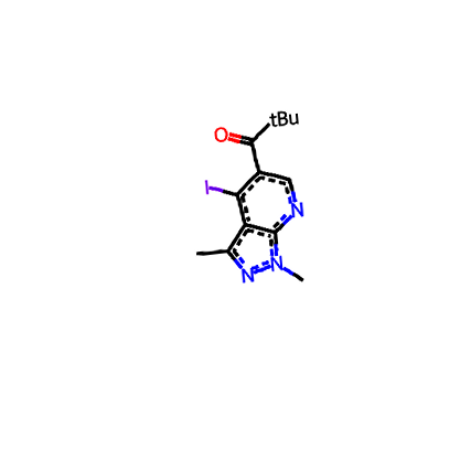 Cc1nn(C)c2ncc(C(=O)C(C)(C)C)c(I)c12